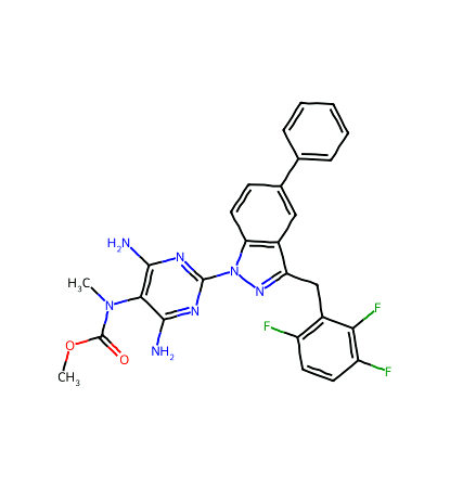 COC(=O)N(C)c1c(N)nc(-n2nc(Cc3c(F)ccc(F)c3F)c3cc(-c4ccccc4)ccc32)nc1N